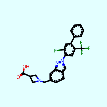 O=C(O)C1CN(Cc2ccc3cn(-c4cc(C(F)(F)F)c(-c5ccccc5)cc4F)nc3c2)C1